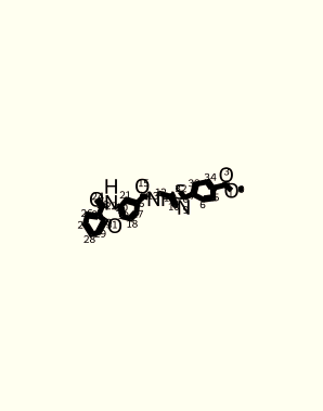 COC(=O)c1ccc(-c2ncc(CNC(=O)c3ccc4c(c3)NC(=O)c3ccccc3O4)s2)cc1